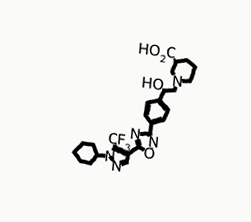 O=C(O)[C@H]1CCCN(C[C@@H](O)c2ccc(-c3noc(-c4cnn(C5CCCCC5)c4C(F)(F)F)n3)cc2)C1